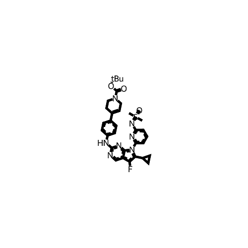 CC(C)(C)OC(=O)N1CC=C(c2ccc(Nc3ncc4c(F)c(C5CC5)n(-c5cccc(N=S(C)(C)=O)n5)c4n3)cc2)CC1